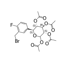 CC(=O)OC1O[C@@H](c2ccc(F)c(CBr)c2)[C@H](OC(C)=O)[C@@H](OC(C)=O)[C@@H]1OC(C)=O